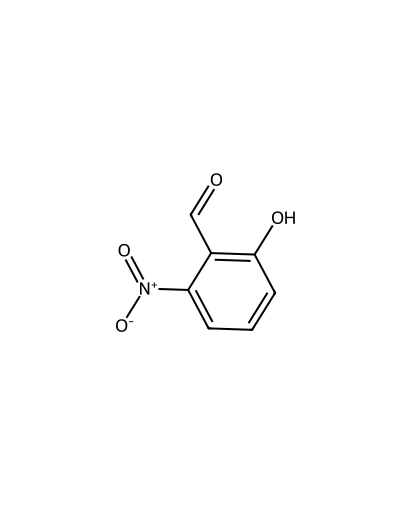 O=Cc1c(O)cccc1[N+](=O)[O-]